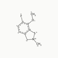 COc1c(F)ccc2c1SN(C)C2